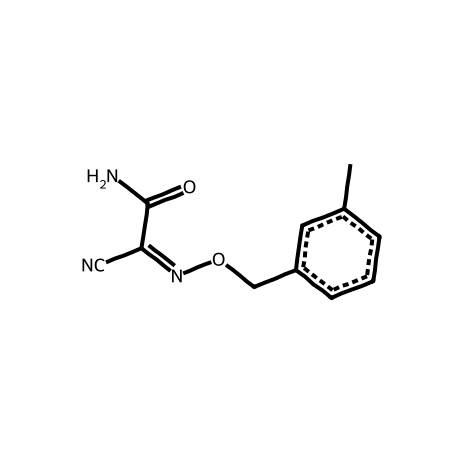 Cc1cccc(CON=C(C#N)C(N)=O)c1